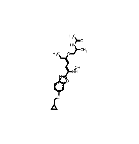 CC/C(=C\C=C(/NO)c1nc2ccc(OCC3CC3)cc2o1)OC[C@H](C)NC(C)=O